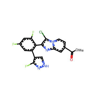 COC(=O)c1ccn2c(Cl)c(-c3c(F)cc(F)cc3-c3c[nH]nc3F)nc2c1